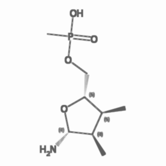 C[C@@H]1[C@H](C)[C@@H](COP(C)(=O)O)O[C@H]1N